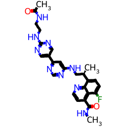 CNC(=O)c1ccnc2c([C@H](C)CNc3cc(-c4cnc(NCCNC(C)=O)nc4)ncn3)ccc(F)c12